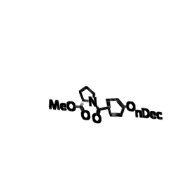 CCCCCCCCCCOc1ccc(C(=O)N2CCC[C@H]2C(=O)OC)cc1